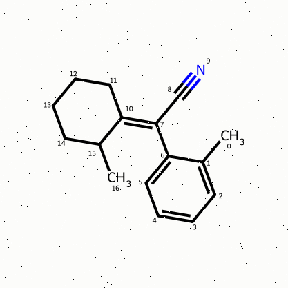 Cc1ccccc1/C(C#N)=C1/CCCCC1C